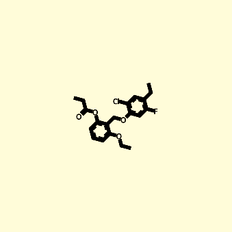 CCOc1cccc(OC(=O)CC)c1COc1cc(F)c(CC)cc1Cl